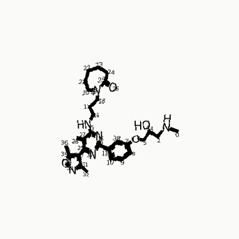 CNCC(O)COc1cccc(-c2nc(NCCCN3CCCCCC3=O)c(C)c(-c3c(C)noc3C)n2)c1